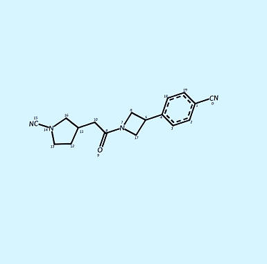 N#Cc1ccc(C2CN(C(=O)CC3CCN(C#N)C3)C2)cc1